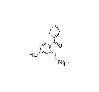 [C-]#[N+]CCc1cc(O)ccc1C(=O)c1ccccc1